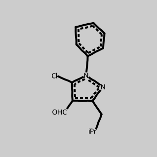 CC(C)Cc1nn(-c2ccccc2)c(Cl)c1C=O